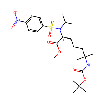 COC(=O)[C@H](CCCC(C)(C)NC(=O)OC(C)(C)C)N(C(C)C)S(=O)(=O)c1ccc([N+](=O)[O-])cc1